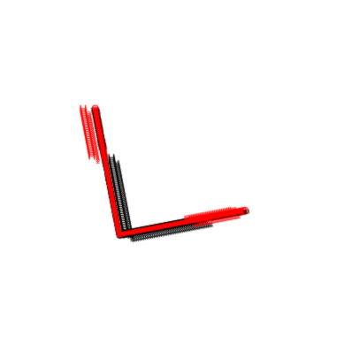 C.C.C.C.C.C.C.C.C.C.C.C.C.C.C.C.C.C.C.C.C.C.C.C.C.C.C.C.C.C.C.C.C.C.C.C.C.C.C.C.C.C.C.C.C.C.C.C.C.C.C.C.C.C.C.C.C.C.C.C.C.C.C.C.C.C.C.C.C.C.C.C.C.C.C.C.C.C.C.C.C.C.C.C.C.C.C.C.C.C.O.O.O.O.O.O.O.O.O.O.O.O.O.O.O.O.O.O.O.O.O.O.O.O.O.O.O.O.O.O.O.O.O.O.O.O.O.O.O.O.O.O.O.O.O.O.O.O.O.O.O.O.O.O.O